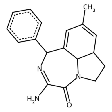 CC1=CC2CCN3C(=O)C(N)=NC(c4ccccc4)C(=C1)C23